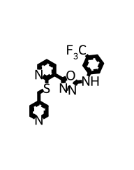 FC(F)(F)c1cccc(Nc2nnc(-c3cccnc3SCc3ccncc3)o2)c1